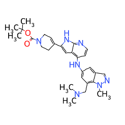 CN(C)Cc1cc(Nc2ccnc3[nH]c(C4=CCN(C(=O)OC(C)(C)C)CC4)cc23)cc2cnn(C)c12